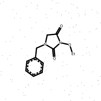 CCON1C(=O)CN(Cc2ccccc2)C1=O